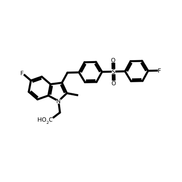 Cc1c(Cc2ccc(S(=O)(=O)c3ccc(F)cc3)cc2)c2cc(F)ccc2n1CC(=O)O